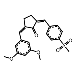 COc1cc(C=C2CCC(=Cc3ccc(S(C)(=O)=O)cc3)C2=O)cc(OC)c1